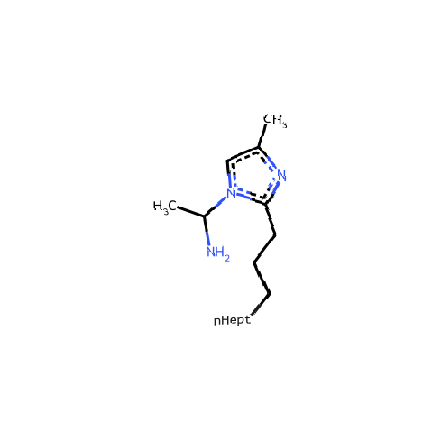 CCCCCCCCCCc1nc(C)cn1C(C)N